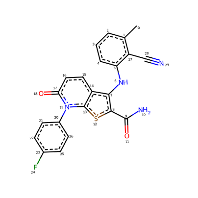 Cc1cccc(Nc2c(C(N)=O)sc3c2ccc(=O)n3-c2ccc(F)cc2)c1C#N